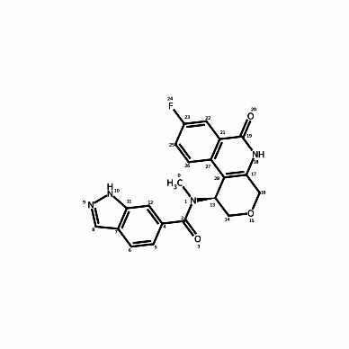 CN(C(=O)c1ccc2cn[nH]c2c1)[C@@H]1COCc2[nH]c(=O)c3cc(F)ccc3c21